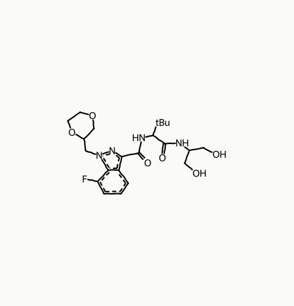 CC(C)(C)C(NC(=O)c1nn(CC2COCCO2)c2c(F)cccc12)C(=O)NC(CO)CO